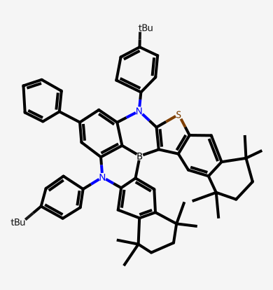 CC(C)(C)c1ccc(N2c3cc4c(cc3B3c5c2cc(-c2ccccc2)cc5N(c2ccc(C(C)(C)C)cc2)c2sc5cc6c(cc5c23)C(C)(C)CCC6(C)C)C(C)(C)CCC4(C)C)cc1